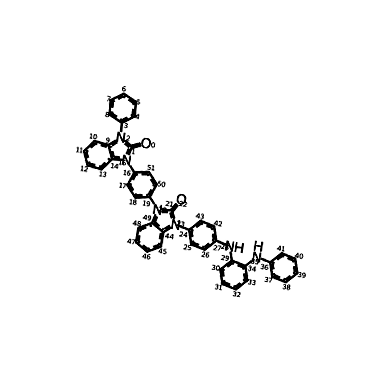 O=c1n(-c2ccccc2)c2ccccc2n1-c1ccc(-n2c(=O)n(-c3ccc(Nc4ccccc4Nc4ccccc4)cc3)c3ccccc32)cc1